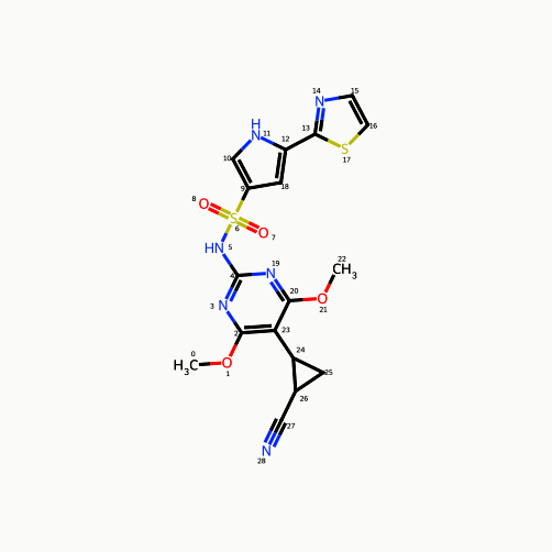 COc1nc(NS(=O)(=O)c2c[nH]c(-c3nccs3)c2)nc(OC)c1C1CC1C#N